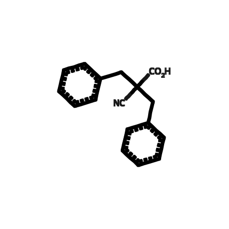 N#CC(Cc1ccccc1)(Cc1ccccc1)C(=O)O